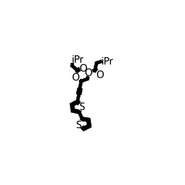 CC(C)CC(=O)OCC(C#Cc1ccc(-c2cccs2)s1)OC(=O)CC(C)C